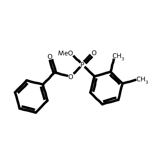 COP(=O)(OC(=O)c1ccccc1)c1cccc(C)c1C